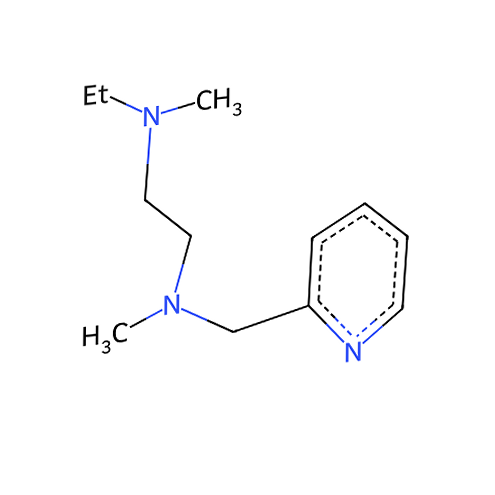 CCN(C)CCN(C)Cc1ccccn1